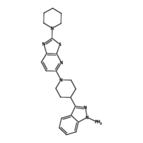 Pn1nc(C2CCN(c3ccc4nc(N5CCCCC5)sc4n3)CC2)c2ccccc21